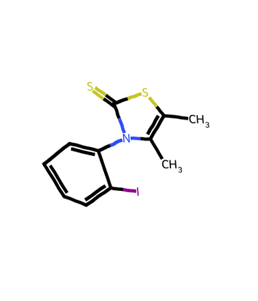 Cc1sc(=S)n(-c2ccccc2I)c1C